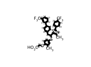 Cc1cc(SC(Cc2ccc(-c3cccc(C(F)(F)F)c3)cc2)c2sc(-c3ccc(C(F)(F)F)cc3)nc2C)ccc1OCC(=O)O